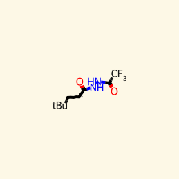 CC(C)(C)C[CH]C(=O)NNC(=O)C(F)(F)F